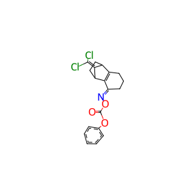 O=C(O/N=C1\CCCC2=C1C1CCC2C1=C(Cl)Cl)Oc1ccccc1